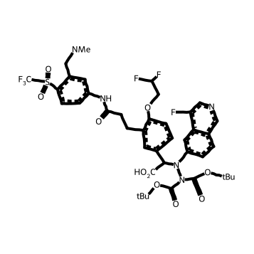 CNCc1cc(NC(=O)CCc2cc(C(C(=O)O)N(c3ccc4cncc(F)c4c3)N(C(=O)OC(C)(C)C)C(=O)OC(C)(C)C)ccc2OCC(F)F)ccc1S(=O)(=O)C(F)(F)F